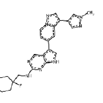 Cn1cc(-c2cnn3ccc(-c4c[nH]c5nc(NCC6(F)CCCCC6)ncc45)cc23)cn1